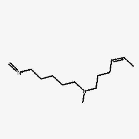 C=NCCCCCN(C)CCC/C=C\C